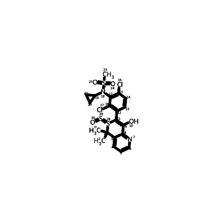 CC1(C)c2cccnc2C(O)=C(c2ccc(Cl)c(N(C3CC3)S(C)(=O)=O)c2Cl)S1=S=O